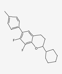 Cc1ccc(-c2cc3c(c(F)c2F)OC(C2CCCCC2)CC3)cc1